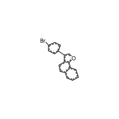 Brc1ccc(-c2coc3c2ccc2ccccc23)cc1